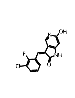 O=C1Nc2cc(O)ncc2C1=Cc1cccc(Cl)c1F